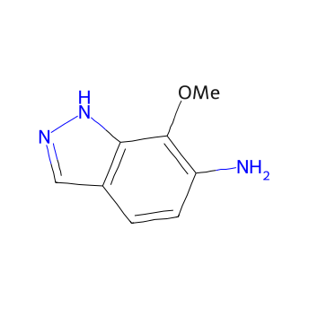 COc1c(N)ccc2cn[nH]c12